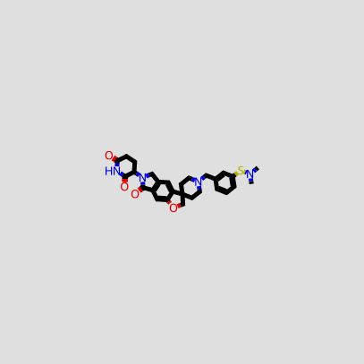 CN(C)Sc1cccc(CN2CCC3(CC2)COc2cc4c(cc23)CN(C2CCC(=O)NC2=O)C4=O)c1